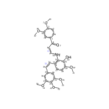 COc1ccc(C(=O)/C=C\Nc2c(/C=C\c3cc(OC)c(OC)c(OC)c3)ccc(OC)c2O)cc1OC